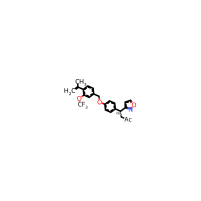 C=C(C)c1ccc(COc2ccc([C@H](CC(C)=O)c3ccon3)cc2)cc1OC(F)(F)F